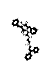 Cn1c(=O)c(=Cc2ccccc2)n(CC(=O)NCCNCCC(c2ccccc2)c2ccccc2)c(=O)c1=Cc1ccccc1